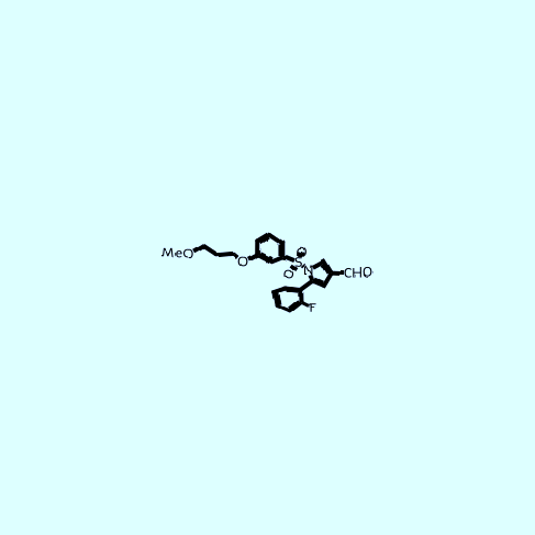 COCCCOc1cccc(S(=O)(=O)n2cc(C=O)cc2-c2ccccc2F)c1